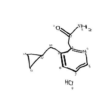 Cl.NC(=O)c1ncccc1CC1CC1